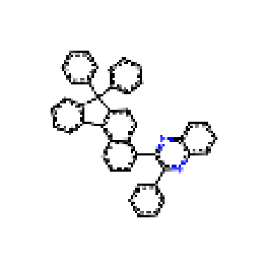 c1ccc(-c2nc3ccccc3nc2-c2cccc3c4c(ccc23)C(c2ccccc2)(c2ccccc2)c2ccccc2-4)cc1